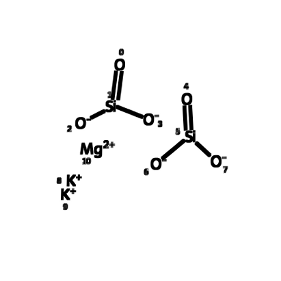 O=[Si]([O-])[O-].O=[Si]([O-])[O-].[K+].[K+].[Mg+2]